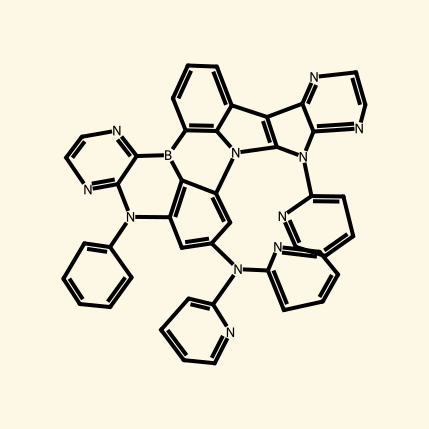 c1ccc(N2c3cc(N(c4ccccn4)c4ccccn4)cc4c3B(c3nccnc32)c2cccc3c5c6nccnc6n(-c6ccccn6)c5n-4c23)cc1